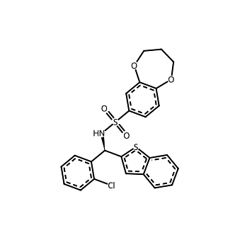 O=S(=O)(N[C@@H](c1cc2ccccc2s1)c1ccccc1Cl)c1ccc2c(c1)OCCCO2